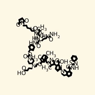 Cc1c(-c2ccc(N3CCc4cccc(C(=O)Nc5nc6ccccc6s5)c4C3)nc2C(=O)O)cnn1CC12CC3(C)CC(C)(C1)CC(OCCN(CCCC(=O)O)C1CCN(C(=O)OCc4ccc(NC(=O)[C@H](CCCNC(N)=O)NC(=O)[C@@H](NC(=O)CCCCCN5C(=O)C=CC5=O)C(C)C)cc4)CC1)(C3)C2